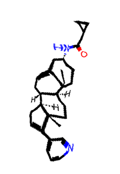 C[C@]12CC[C@@H](NC(=O)C3CC3)CC1=CC[C@@H]1[C@@H]2CC[C@]2(C)C(c3cccnc3)=CC[C@@H]12